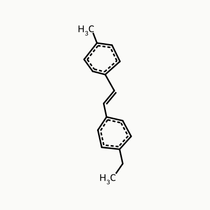 CCc1ccc(/C=C/c2ccc(C)cc2)cc1